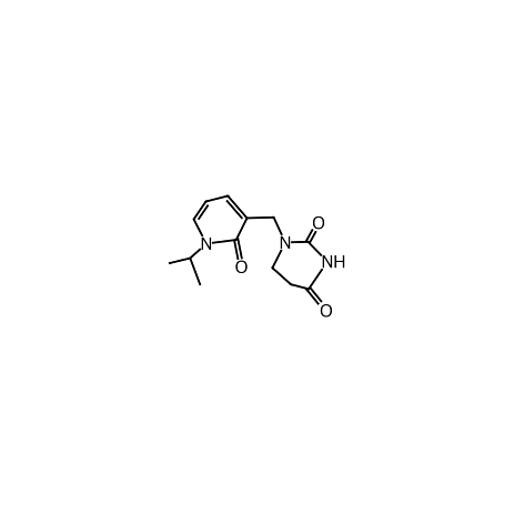 CC(C)n1cccc(CN2CCC(=O)NC2=O)c1=O